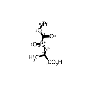 CC(C)OC(=O)/[P+]([O-])=N/C(C)C(=O)O